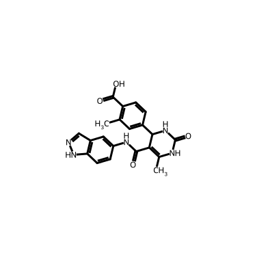 CC1=C(C(=O)Nc2ccc3[nH]ncc3c2)C(c2ccc(C(=O)O)c(C)c2)NC(=O)N1